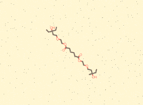 CCC(C)(O)CCOCCOC(=O)CCCCC(=O)OCCOCCC(O)(CC)CC